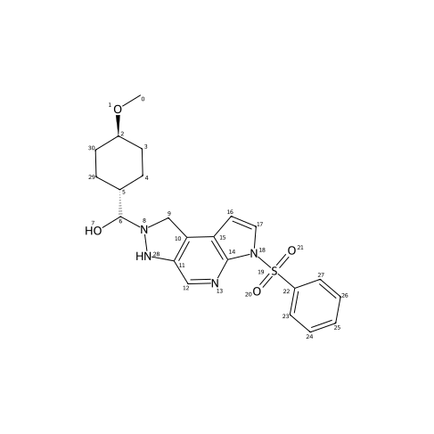 CO[C@H]1CC[C@H](C(O)N2Cc3c(cnc4c3ccn4S(=O)(=O)c3ccccc3)N2)CC1